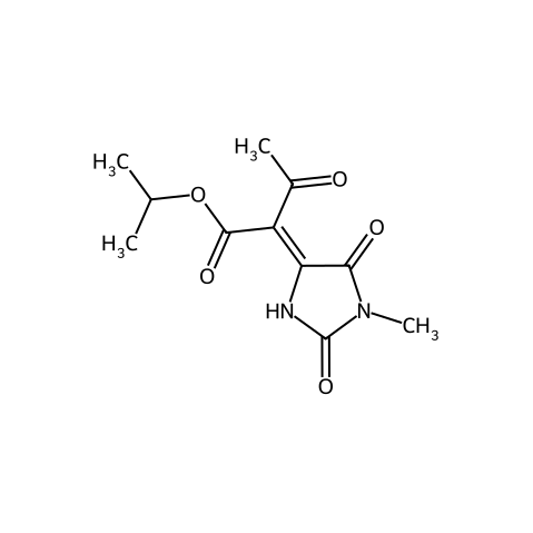 CC(=O)C(C(=O)OC(C)C)=C1NC(=O)N(C)C1=O